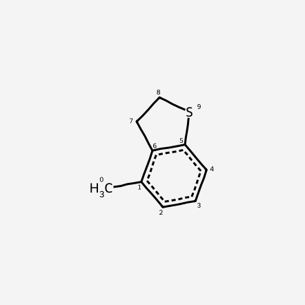 Cc1cccc2c1CCS2